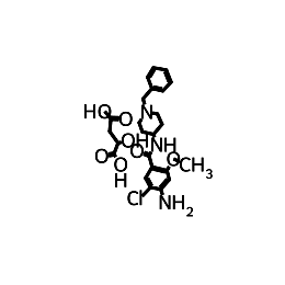 COc1cc(N)c(Cl)cc1C(=O)NC1CCN(Cc2ccccc2)CC1.O=C(O)CC(O)C(=O)O